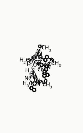 C=CC(=O)N1CCN(c2nc(OC[C@@H]3CCCN3C)nc3c2COC(c2cccc4c(C5CCN(C)[C@@H]5COc5nc6c(c(N7CCN(C(=O)C=C)[C@@H](CC#N)C7)n5)COC(c5cccc7c(C8CCN(C)[C@@H]8COc8nc9c(c(N%10CCN(C(=O)C=C)[C@@H](CC#N)C%10)n8)CN(C)C(c8cccc%10ccccc8%10)C9)ccc(Cl)c57)C6)cccc24)C3)C[C@@H]1CC#N